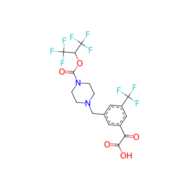 O=C(O)C(=O)c1cc(CN2CCN(C(=O)OC(C(F)(F)F)C(F)(F)F)CC2)cc(C(F)(F)F)c1